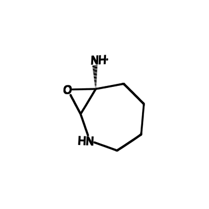 [NH][C@]12CCCCNC1O2